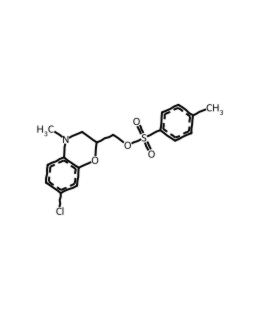 Cc1ccc(S(=O)(=O)OCC2CN(C)c3ccc(Cl)cc3O2)cc1